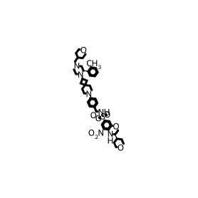 Cc1ccccc1[C@@H]1CN(CC2CCOCC2)CCN1C1CC2(CCN(c3ccc(C(=O)NS(=O)(=O)c4cc5c(c([N+](=O)[O-])c4)N[C@H](C4CCOCC4)CO5)cc3)CC2)C1